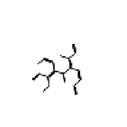 C=C/C=C\C(=C(\C)C=C)C(C)C(/C=C\C)=C(/C=C)CC